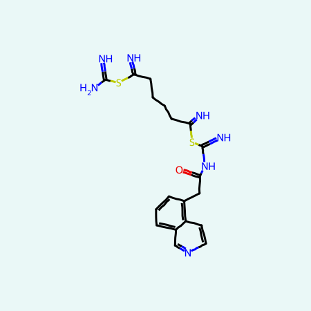 N=C(N)SC(=N)CCCCC(=N)SC(=N)NC(=O)Cc1cccc2cnccc12